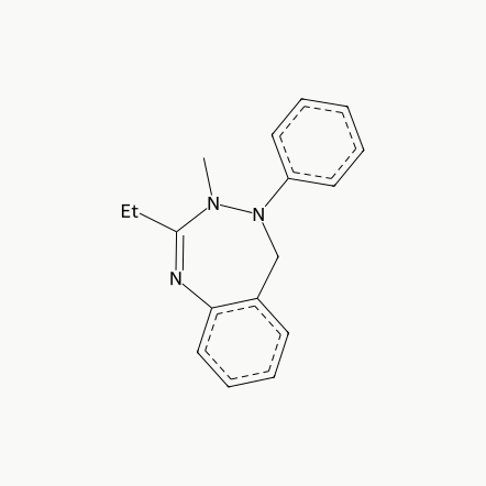 CCC1=Nc2ccccc2CN(c2ccccc2)N1C